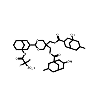 CC1CC2CC(C(=O)OCC3(COC(=O)C45CC(C)CC(CC(O)C4)C5)COC(C4CC5CCCC(OC(=O)C(F)(F)S(=O)(=O)O)(C5)C4)OC3)CC(O)(C1)C2